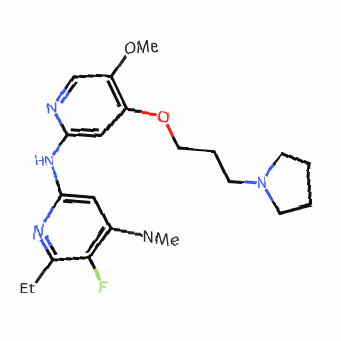 CCc1nc(Nc2cc(OCCCN3CCCC3)c(OC)cn2)cc(NC)c1F